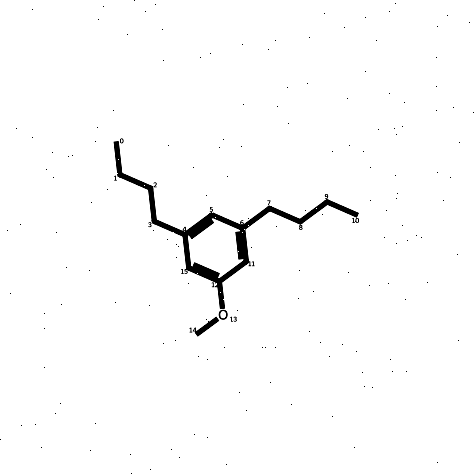 CCCCc1[c]c(CCCC)cc(OC)c1